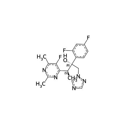 Cc1nc(C)c(F)c([C@H](C)[C@](O)(Cn2cncn2)c2ccc(F)cc2F)n1